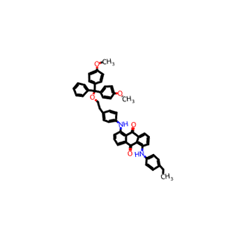 CCc1ccc(Nc2cccc3c2C(=O)c2cccc(Nc4ccc(CCOC(c5ccccc5)(c5ccc(OC)cc5)c5ccc(OC)cc5)cc4)c2C3=O)cc1